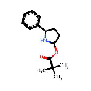 CC(C)(C)C(=O)OC1CCC(c2ccccc2)N1